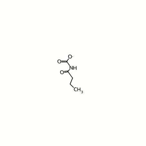 CCCC(=O)NC([O])=O